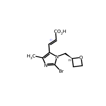 Cc1nc(Br)n(C[C@@H]2CCO2)c1/C=C/C(=O)O